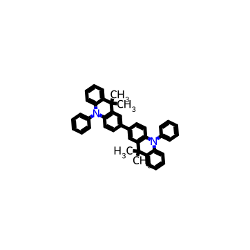 CC1(C)c2ccccc2N(c2ccccc2)c2ccc(-c3ccc4c(c3)C(C)(C)c3ccccc3N4c3ccccc3)cc21